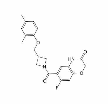 Cc1ccc(OCC2CN(C(=O)c3cc4c(cc3F)OCC(=O)N4)C2)c(C)c1